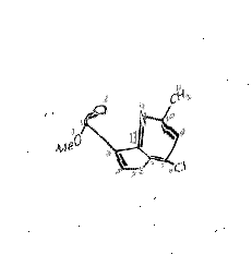 COC(=O)c1csc2c(Cl)cc(C)nc12